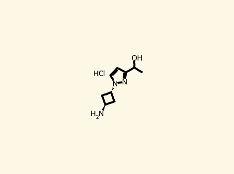 CC(O)c1ccn([C@H]2C[C@H](N)C2)n1.Cl